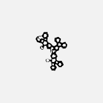 O=C1c2cc3c(cc2C2c4ccccc4C24c2ccccc2C14)c1cc2c4ccccc4c4ccccc4c2c2c4cc5c(cc4n3c12)C(=O)C1c2ccccc2C12c1ccccc1C52